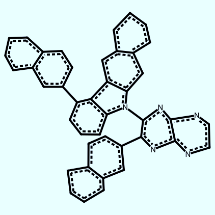 c1ccc2cc(-c3nc4nccnc4nc3-n3c4cc5ccccc5cc4c4c(-c5ccc6ccccc6c5)cccc43)ccc2c1